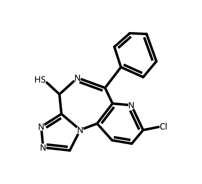 SC1N=C(c2ccccc2)c2nc(Cl)ccc2-n2cnnc21